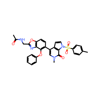 CC(=O)NCc1nc2c(Oc3ccccc3)c(-c3cn(C)c(=O)c4c3ccn4S(=O)(=O)c3ccc(C)cc3)ccc2o1